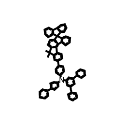 CC1(C)c2cc(-c3ccc(N(c4ccc(-c5ccccc5)cc4)c4cc(-c5ccccc5)cc(-c5ccccc5)c4)cc3)ccc2-c2c1ccc1c2-c2ccccc2C12c1ccccc1-c1ccccc12